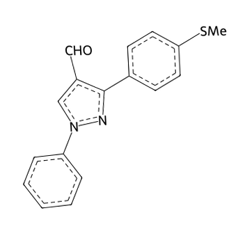 CSc1ccc(-c2nn(-c3ccccc3)cc2C=O)cc1